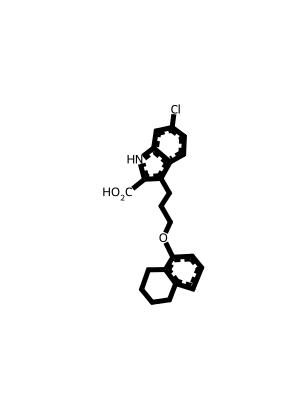 O=C(O)c1[nH]c2cc(Cl)ccc2c1CCCOc1cccc2c1CCCC2